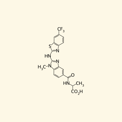 CC(NC(=O)c1ccc2c(c1)nc(Nc1nc3ccc(C(F)(F)F)cc3s1)n2C)C(=O)O